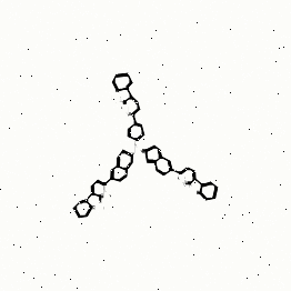 c1ccc2c(c1)oc1nc(-c3ccc(N(c4ccc5cc(-c6ccc7c(n6)oc6ccccc67)ccc5c4)c4ccc5cc(-c6ccc7c(n6)oc6ccccc67)ccc5c4)cc3)ccc12